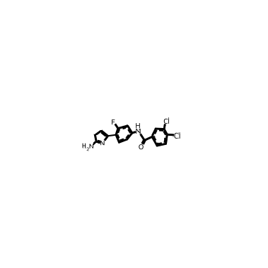 NC1=NC(c2ccc(NC(=O)c3ccc(Cl)c(Cl)c3)cc2F)=CC1